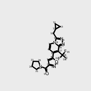 O=C(c1cc(-c2ccn3c(CC4CC4)nnc3c2C(F)(F)F)on1)N1CCCC1